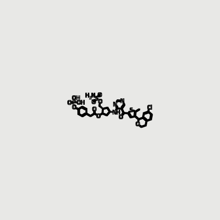 Cc1sc(C(=O)c2cncnc2N[C@H]2CC(OC(=O)Cc3ccc(OP(=O)(O)O)cc3)[C@@H](COS(N)(=O)=O)C2)cc1C1OCCc2ccc(Cl)cc21